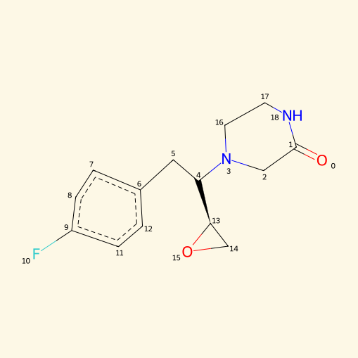 O=C1CN(C(Cc2ccc(F)cc2)[C@H]2CO2)CCN1